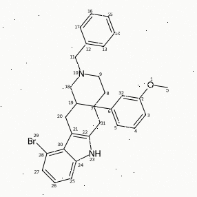 COc1cccc(C23CCN(Cc4ccccc4)CC2Cc2c([nH]c4cccc(Br)c24)C3)c1